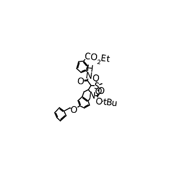 CCOC(=O)c1cccc(NC(=O)C(C2Cc3cc(OCc4ccccc4)ccc3N2C(=O)OC(C)(C)C)S(C)(=O)=O)c1